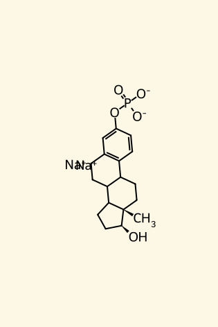 C[C@]12CCC3c4ccc(OP(=O)([O-])[O-])cc4CCC3C1CC[C@@H]2O.[Na+].[Na+]